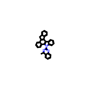 Cc1nc(-n2c3ccccc3c3c4c(c5ccccc5c32)Cc2ccccc2-4)nc2ccccc12